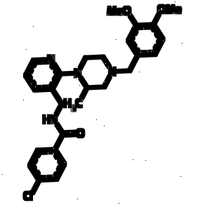 COc1ccc(CN2CCN(c3ncccc3CNC(=O)c3ccc(Cl)cc3)C(C)C2)cc1OC